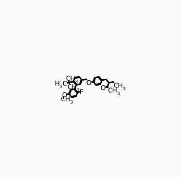 CCC(Cc1ccc(OCc2ccc(C(C)(C)C)c(-c3cc(OC)ccc3F)c2)cc1)C(C)=O